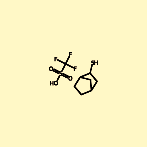 O=S(=O)(O)C(F)(F)F.SC1CC2CCC1C2